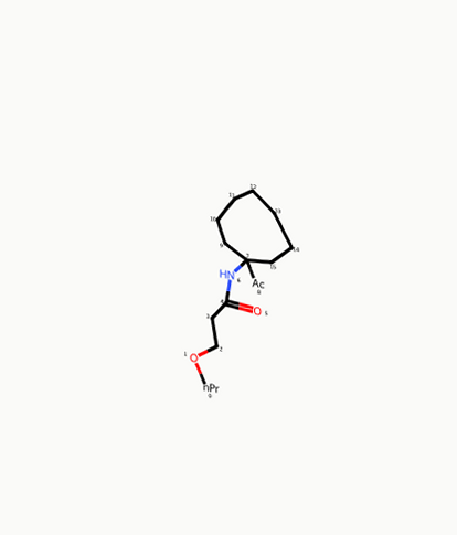 CCCOCCC(=O)NC1(C(C)=O)CCCCCCC1